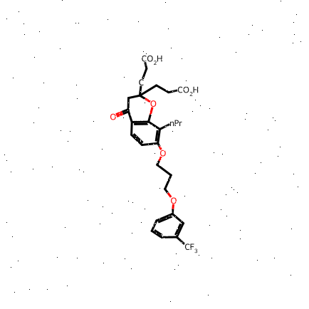 CCCc1c(OCCCOc2cccc(C(F)(F)F)c2)ccc2c1OC(CCC(=O)O)(CCC(=O)O)CC2=O